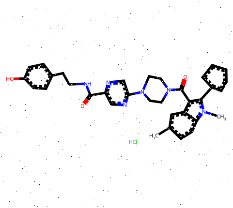 Cc1ccc2c(c1)c(C(=O)N1CCN(c3cnc(C(=O)NCCc4ccc(O)cc4)cn3)CC1)c(-c1ccccc1)n2C.Cl